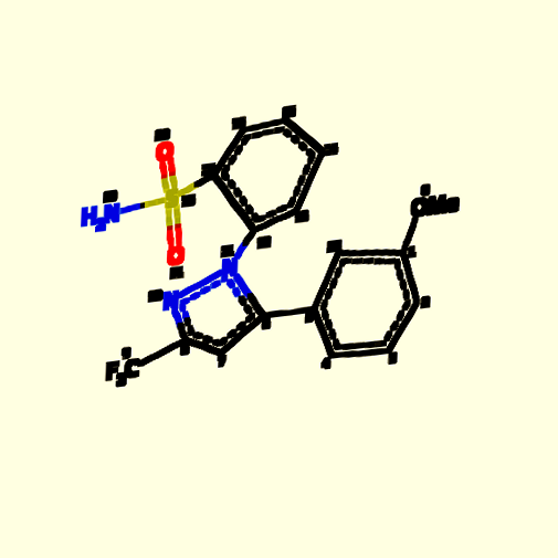 COc1cccc(-c2cc(C(F)(F)F)nn2-c2ccccc2S(N)(=O)=O)c1